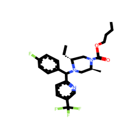 CCCCOC(=O)N1C[C@@H](CC)N(C(c2ccc(F)cc2)c2ccc(C(F)(F)F)cn2)C[C@@H]1C